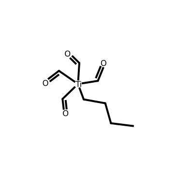 CCC[CH2][Ti]([CH]=O)([CH]=O)([CH]=O)[CH]=O